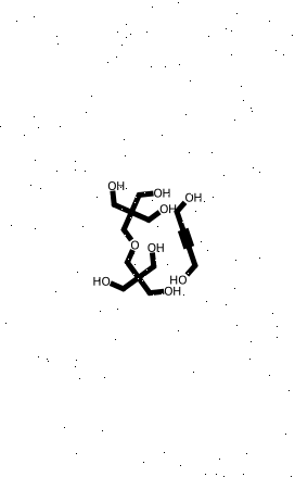 OCC#CCO.OCC(CO)(CO)COCC(CO)(CO)CO